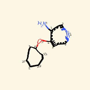 Nc1cnccc1OC1CCCCC1